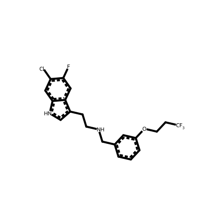 Fc1cc2c(CCNCc3cccc(OCCC(F)(F)F)c3)c[nH]c2cc1Cl